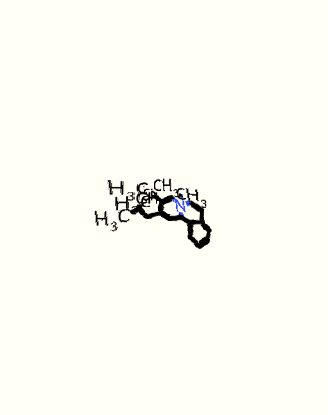 CC(C)CC1=CC2c3ccccc3C=C[N+]2(C)C=C1[Si](C)(C)C